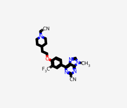 Cn1cnc2c(-c3ccc(OCCC4CCN(CC#N)CC4)c(C(F)(F)F)c3)nc(C#N)nc21